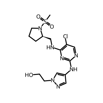 CS(=O)(=O)N1CCC[C@@H]1CNc1nc(Nc2cnn(CCO)c2)ncc1Cl